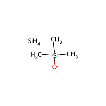 C[Si](C)(C)[O].[SiH4]